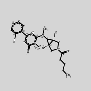 CCCCC(=O)N1C[C@@H]2C(N(C)c3nc(-c4ccncc4F)cc(=O)n3C)[C@@H]2C1